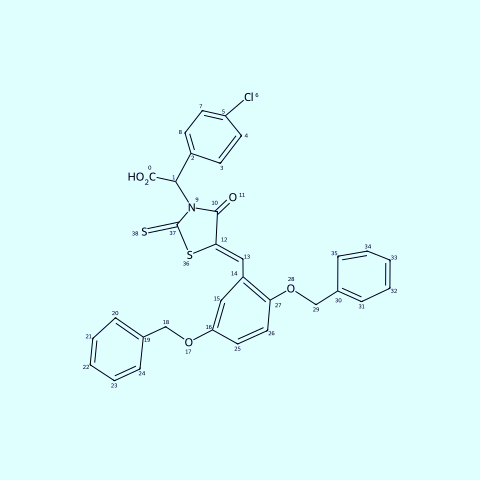 O=C(O)C(c1ccc(Cl)cc1)N1C(=O)C(=Cc2cc(OCc3ccccc3)ccc2OCc2ccccc2)SC1=S